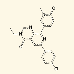 CCn1cnc2c(-c3ccc(=O)n(C)c3)nc(-c3ccc(Cl)cc3)cc2c1=O